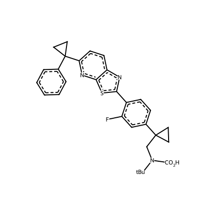 CC(C)(C)N(CC1(c2ccc(-c3nc4ccc(C5(c6ccccc6)CC5)nc4s3)c(F)c2)CC1)C(=O)O